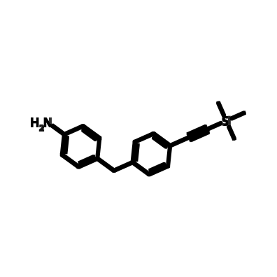 C[Si](C)(C)C#Cc1ccc(Cc2ccc(N)cc2)cc1